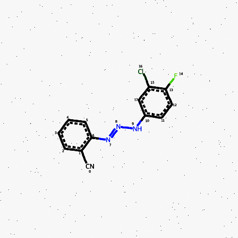 N#Cc1ccccc1/N=N/Nc1ccc(F)c(Cl)c1